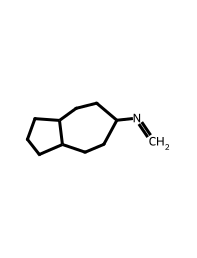 C=NC1CCC2CCCC2CC1